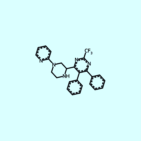 FC(F)(F)c1nc(-c2ccccc2)c(-c2ccccc2)c(C2CN(c3ccccn3)CCN2)n1